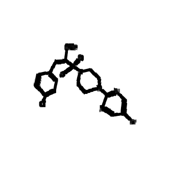 COC(=Cc1ccc(Cl)cc1)S(=O)(=O)N1CCN(c2ncc(Br)cn2)CC1